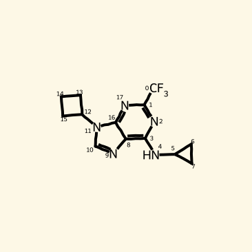 FC(F)(F)c1nc(NC2CC2)c2ncn(C3CCC3)c2n1